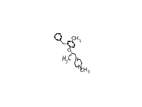 Cc1ccc(OC(C)CN2CCN(C)CC2)c(Cc2ccccc2)c1